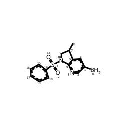 Bc1cnc2c(c1)C(C)CN2S(=O)(=O)c1ccccc1